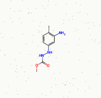 COC(=O)NNc1ccc(C)c(N)c1